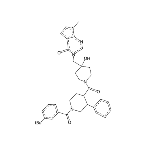 Cn1ccc2c(=O)n(CC3(O)CCN(C(=O)C4CCN(C(=O)c5cccc(C(C)(C)C)c5)CC4c4ccccc4)CC3)cnc21